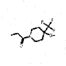 CCC(=O)N1CCC(O)(C(F)(F)F)CC1